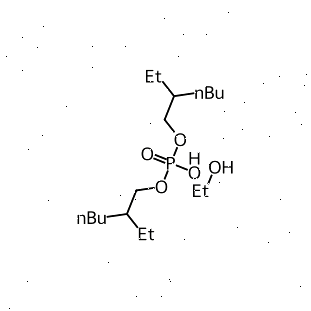 CCCCC(CC)COP(=O)(O)OCC(CC)CCCC.CCO